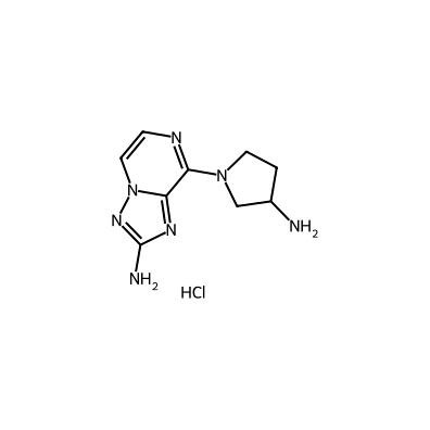 Cl.Nc1nc2c(N3CCC(N)C3)nccn2n1